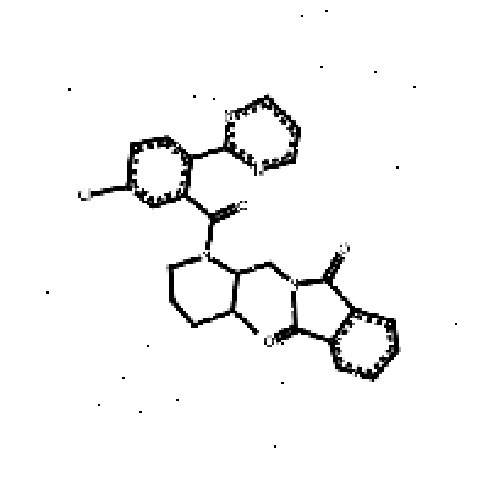 CC1CCCN(C(=O)c2cc(Cl)ccc2-c2ncccn2)C1CN1C(=O)c2ccccc2C1=O